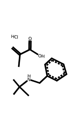 C=C(C)C(=O)O.CC(C)(C)NCc1ccccc1.Cl